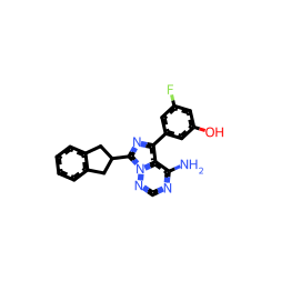 Nc1ncnn2c(C3Cc4ccccc4C3)nc(-c3cc(O)cc(F)c3)c12